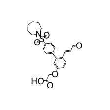 O=CC=Cc1ccc(OCC(=O)O)cc1-c1ccc(S(=O)(=O)N2CCCCCC2)cc1